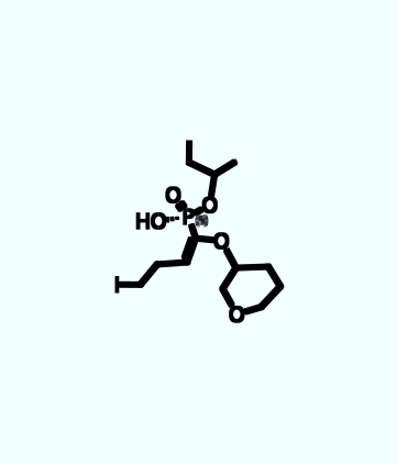 CCC(C)O[P@@](=O)(O)C(=CCCI)OC1CCCOC1